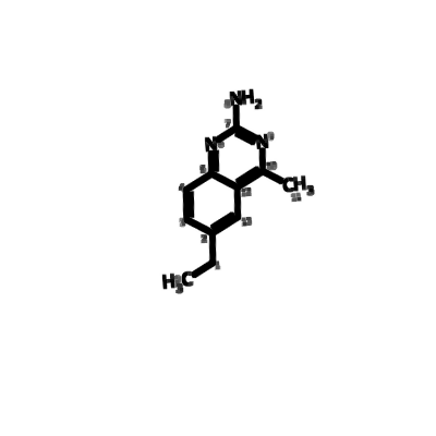 CCc1ccc2nc(N)nc(C)c2c1